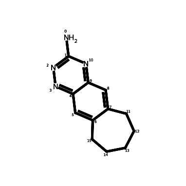 Nc1nnc2cc3c(cc2n1)CCCCC3